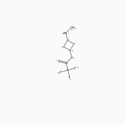 CNC1CN(OC(=O)C(F)(F)F)C1